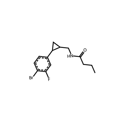 CCCC(=O)NCC1CC1c1ccc(Br)c(F)c1